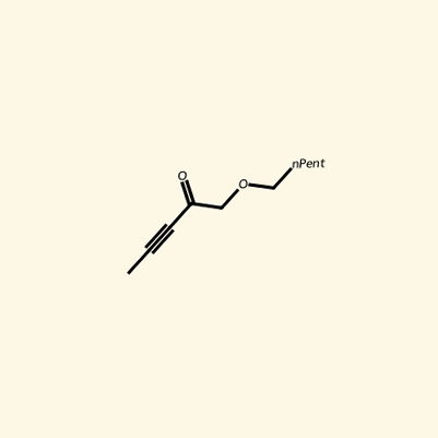 CC#CC(=O)COCCCCCC